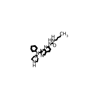 CCCCNC(=O)Nc1ccc2cnc(N(c3ccccc3)N3CCNCC3)nc2n1